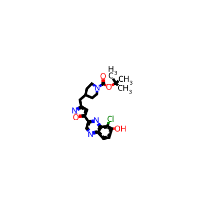 CC(C)(C)OC(=O)N1CCC(Cc2cc(-c3cnc4ccc(O)c(Cl)c4n3)on2)CC1